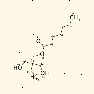 CCCCCCC(=O)OCC(CO)(CO)CO